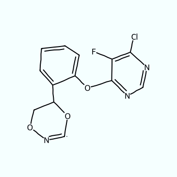 Fc1c(Cl)ncnc1Oc1ccccc1C1CON=[C]O1